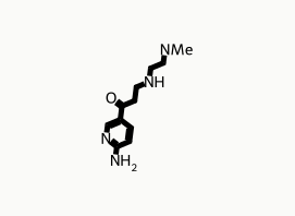 CNCCNCCC(=O)c1ccc(N)nc1